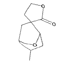 CC1CC2OC1CC21CCOC1=O